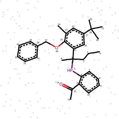 CCCC(C)(Pc1ccccc1C(C)=O)c1cc(C(C)(C)C)cc(C)c1OCc1ccccc1